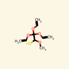 C=COC(OC=C)(OC=C)C(S)OC